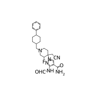 N#CCC1(n2cc(C(N)=O)c(NC=O)n2)CCN(CC2CCC(c3ccccc3)CC2)CC1F